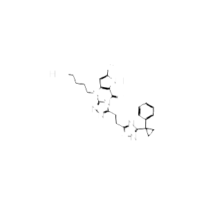 CCCCCn1c2cc(Br)[nH]c2c(=O)n2c(CCc3nc(C4(c5ccccc5)CC4)no3)nnc12